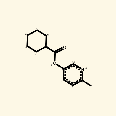 Cc1ccc(OC(=O)C2CCCCC2)cn1